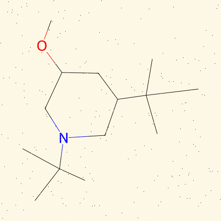 COC1CC(C(C)(C)C)CN(C(C)(C)C)C1